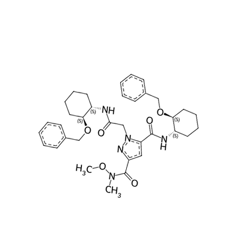 CON(C)C(=O)c1cc(C(=O)N[C@H]2CCCC[C@@H]2OCc2ccccc2)n(CC(=O)N[C@H]2CCCC[C@@H]2OCc2ccccc2)n1